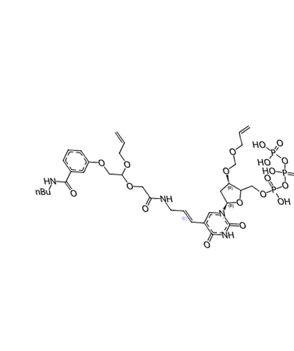 C=CCOCO[C@@H]1C[C@H](n2cc(/C=C/CNC(=O)COC(COc3cccc(C(=O)NCCCC)c3)OCC=C)c(=O)[nH]c2=O)OC1COP(=O)(O)OP(=O)(O)OP(=O)(O)O